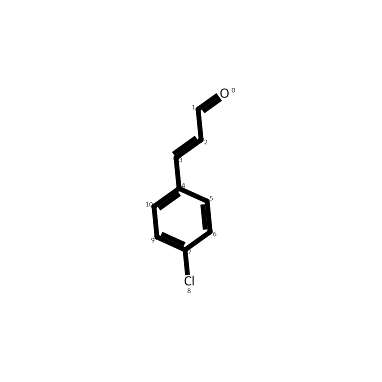 O=CC=Cc1ccc(Cl)cc1